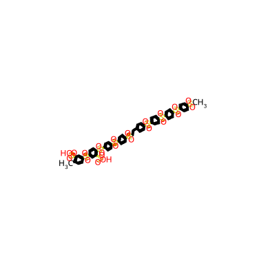 Cc1ccc(S(=O)(=O)c2ccc(S(=O)(=O)c3ccc(S(=O)(=O)c4ccc(S(=O)(=O)CCc5ccc(S(=O)(=O)c6ccc(S(=O)(=O)c7ccc(S(=O)(=O)c8ccc(S(C)(=O)=O)cc8)cc7)cc6)cc5)cc4)cc3)c(S(=O)(=O)O)c2)cc1S(=O)(=O)O